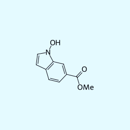 COC(=O)c1ccc2ccn(O)c2c1